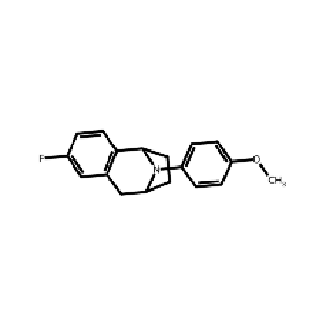 COc1ccc(N2C3CCC2c2ccc(F)cc2C3)cc1